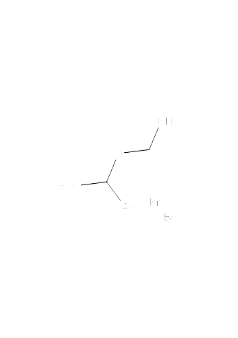 CCO[CH](C)[Al+2].[Br-].[Br-]